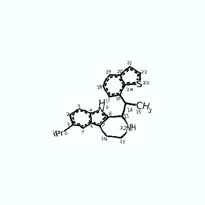 CC(C)c1ccc2[nH]c3c(c2c1)CCNC3C(C)c1cccc2ccsc12